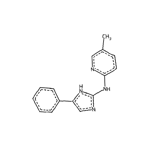 Cc1ccc(Nc2ncc(-c3ccccc3)[nH]2)nc1